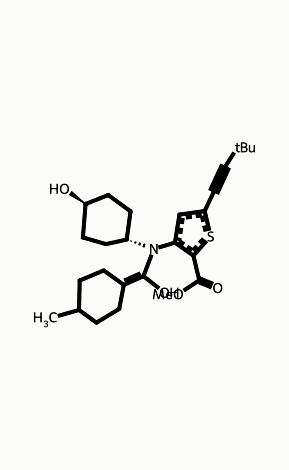 COC(=O)c1sc(C#CC(C)(C)C)cc1N(C(O)=C1CCC(C)CC1)[C@H]1CC[C@H](O)CC1